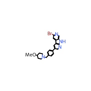 COC1CCN(Cc2ccc(-c3cnc4[nH]c5cnc(Br)cc5c4c3)cc2)CC1